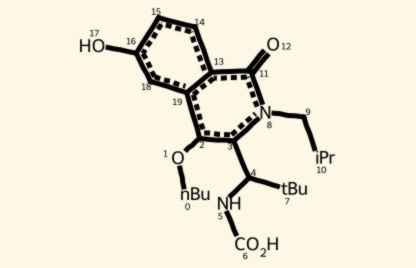 CCCCOc1c(C(NC(=O)O)C(C)(C)C)n(CC(C)C)c(=O)c2ccc(O)cc12